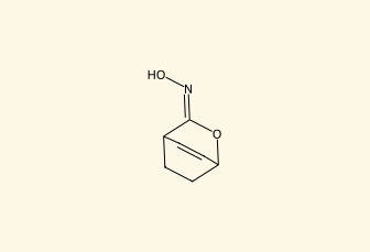 ON=C1OC2C=CC1CC2